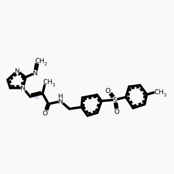 C=Nc1nccn1/C=C(\C)C(=O)NCc1ccc(S(=O)(=O)c2ccc(C)cc2)cc1